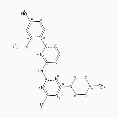 CCc1nc(Nc2cccc(-c3ccc(O)cc3CO)n2)nc(N2CCN(C)CC2)n1